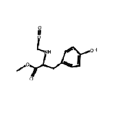 COC(=O)C(Cc1ccc(O)cc1)NCB=O